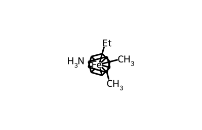 CC[C]12[CH]3[CH]4[C]5(C)[C]1(C)[Fe]43521678[CH]2[CH]1[CH]6[CH]7[CH]28.N